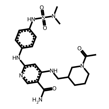 CC(=O)N1CCCC(CNc2cc(Nc3ccc(NS(=O)(=O)N(C)C)cc3)ncc2C(N)=O)C1